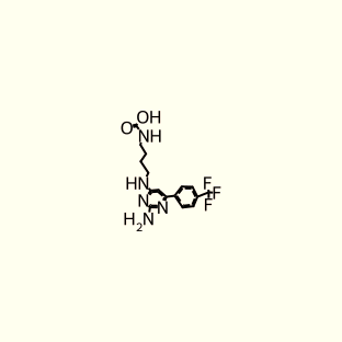 Nc1nc(NCCCCNC(=O)O)cc(-c2ccc(C(F)(F)F)cc2)n1